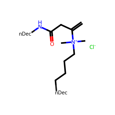 C=C(CC(=O)NCCCCCCCCCC)[N+](C)(C)CCCCCCCCCCCCCC.[Cl-]